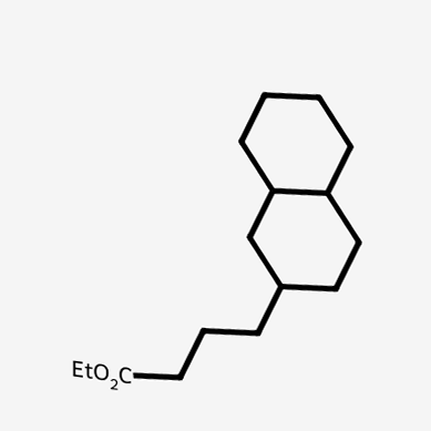 CCOC(=O)CCCC1CCC2CCCCC2C1